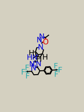 Cc1nnc(N2C[C@@H]3CC(C)[C@H](C2)[C@H]3Nc2nc3n(n2)C(C(F)(F)F)CCC3c2ccc(C(F)(F)F)cc2)o1